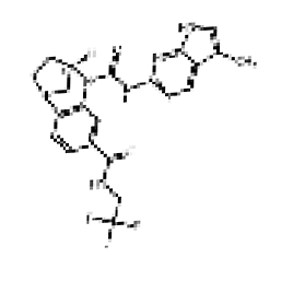 Cc1c[nH]c2nc(NC(=O)N3c4nc(C(=O)NCC(F)(F)F)ccc4N4CC[C@H]3C4)ncc12